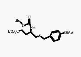 CCOC(=O)CCC(CSCc1ccc(OC)cc1)NC(=O)OC(C)(C)C